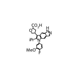 COc1cc(-n2c(C(C)C)c(C3COC(C(=O)O)C3)c3cc4[nH]ncc4cc32)ccc1F